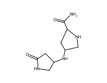 NC(=O)C1CC(NC2CNC(=O)C2)CN1